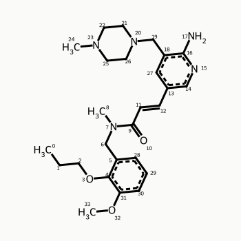 CCCOc1c(CN(C)C(=O)/C=C/c2cnc(N)c(CN3CCN(C)CC3)c2)cccc1OC